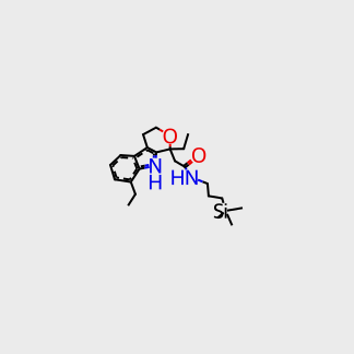 CCc1cccc2c3c([nH]c12)C(CC)(CC(=O)NCCC[Si](C)(C)C)OCC3